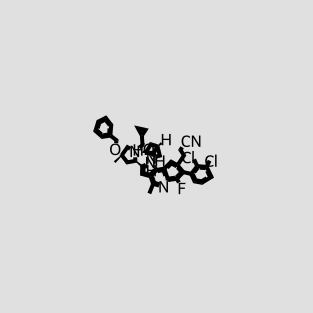 Cc1nc2c(F)c(-c3cccc(Cl)c3Cl)c(CCC#N)cc2c2c1cc([C@H]1C[C@](C)(OCc3ccccc3)CN1C(=O)C1CC1)n2[C@H]1[C@H]2CN[C@@H]1C2